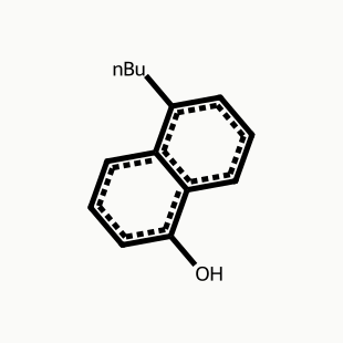 CCCCc1cccc2c(O)cccc12